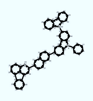 c1ccc(-n2c3ccc(-c4ccc5cc(-c6cc7c8c(cccc8n6)-c6ccccc6-7)ccc5c4)cc3c3cc(-n4c5ccccc5c5ccccc54)ccc32)cc1